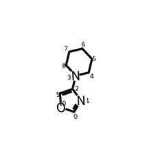 c1nc(N2CCCCC2)co1